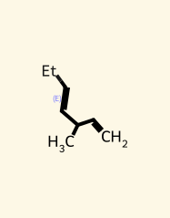 C=CC(C)/C=C/CC